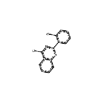 Clc1ccccc1-c1nc(Cl)c2ccccc2n1